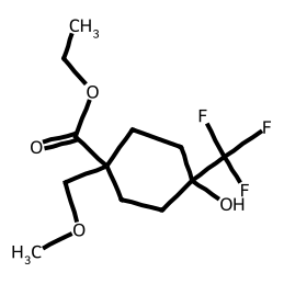 CCOC(=O)C1(COC)CCC(O)(C(F)(F)F)CC1